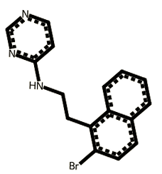 Brc1ccc2ccccc2c1CCNc1ccncn1